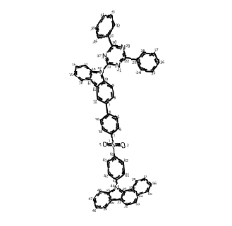 O=S(=O)(c1ccc(-c2ccc3c(c2)c2ccccc2n3-c2nc(-c3ccccc3)nc(-c3ccccc3)n2)cc1)c1ccc(-n2c3ccccc3c3ccc4ccccc4c32)cc1